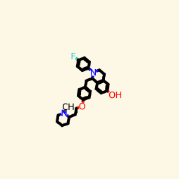 CN1CCCCC1CCOc1ccc(CC2c3ccc(O)cc3CCN2c2ccc(F)cc2)cc1